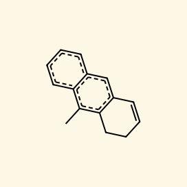 Cc1c2c(cc3ccccc13)C=CCC2